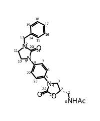 CC(=O)NC[C@H]1CN(c2ccc(N3CCN(Cc4ccccc4)C3=O)cc2)C(=O)O1